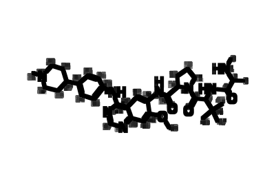 CNC(C)C(=O)NC(C(=O)N1CCCC1C(=O)Nc1cc2c(Nc3ccc(C4CCN(C)CC4)cc3)ncnc2cc1OC)C(C)(C)C